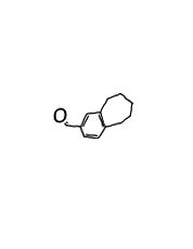 O=Cc1ccc2c(c1)CCCCC2